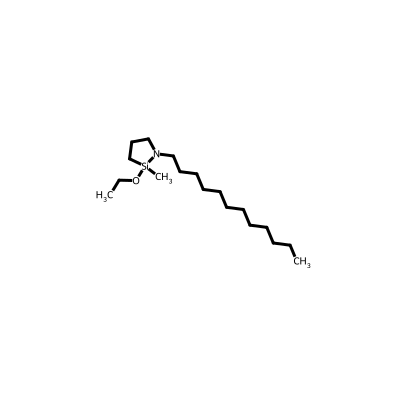 CCCCCCCCCCCCN1CCC[Si]1(C)OCC